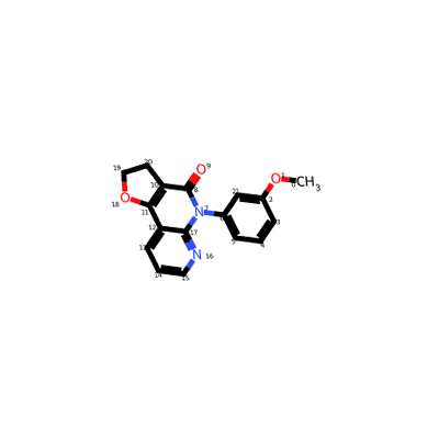 COc1cccc(-n2c(=O)c3c(c4cccnc42)OCC3)c1